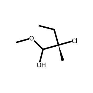 CC[C@](C)(Cl)C(O)OC